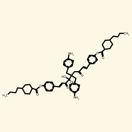 CCCCC1CCC(C(=O)Oc2ccc(C=CC(=O)CC(Cc3ccc(N)cc3)(Cc3ccc(N)cc3)C(O)(O)C(=O)C=Cc3ccc(OC(=O)C4CCC(CCCC)CC4)cc3)cc2)CC1